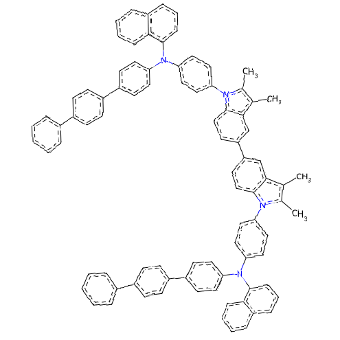 Cc1c(C)n(-c2ccc(N(c3ccc(-c4ccc(-c5ccccc5)cc4)cc3)c3cccc4ccccc34)cc2)c2ccc(-c3ccc4c(c3)c(C)c(C)n4-c3ccc(N(c4ccc(-c5ccc(-c6ccccc6)cc5)cc4)c4cccc5ccccc45)cc3)cc12